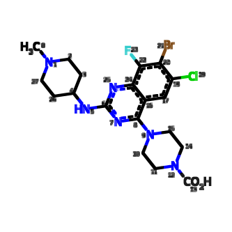 CN1CCC(Nc2nc(N3CCN(C(=O)O)CC3)c3cc(Cl)c(Br)c(F)c3n2)CC1